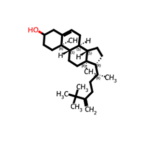 C=C(CC[C@@H](C)[C@H]1CC[C@H]2[C@@H]3CC=C4CC(O)CC[C@]4(C)[C@H]3CC[C@]12C)C(C)(C)C